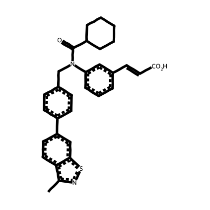 Cc1nsc2cc(-c3ccc(CN(C(=O)C4CCCCC4)c4cccc(C=CC(=O)O)c4)cc3)ccc12